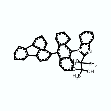 BC(O)(O)C(B)(B)c1nc2ccccc2n1-c1c2ccccc2c(-c2ccc3c4c(cccc24)-c2ccccc2-3)c2ccccc12